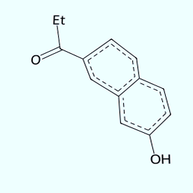 CCC(=O)c1ccc2ccc(O)cc2c1